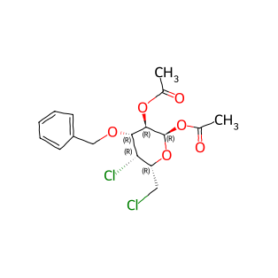 CC(=O)O[C@H]1O[C@H](CCl)[C@H](Cl)[C@H](OCc2ccccc2)[C@H]1OC(C)=O